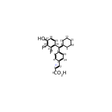 O=C(O)/C=C/c1ccc(C(=C2CCCCC2)c2ccc(O)c(F)c2F)cc1